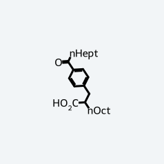 CCCCCCCCC(Cc1ccc(C(=O)CCCCCCC)cc1)C(=O)O